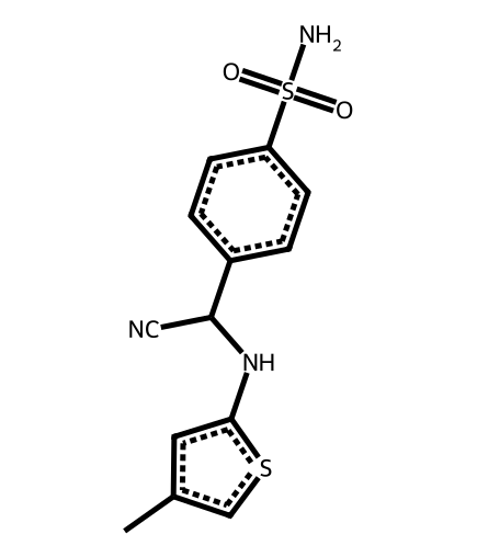 Cc1csc(NC(C#N)c2ccc(S(N)(=O)=O)cc2)c1